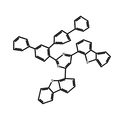 c1ccc(-c2ccc(-c3cc(-c4ccccc4)ccc3-c3nc(-c4cccc5c4sc4ccccc45)cc(-c4cccc5c4sc4ccccc45)n3)cc2)cc1